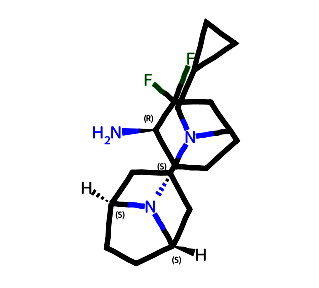 CN(CC1CC1)C1C[C@@H]2CC[C@@H](C1)N2[C@H]1CCCC(F)(F)[C@@H]1N